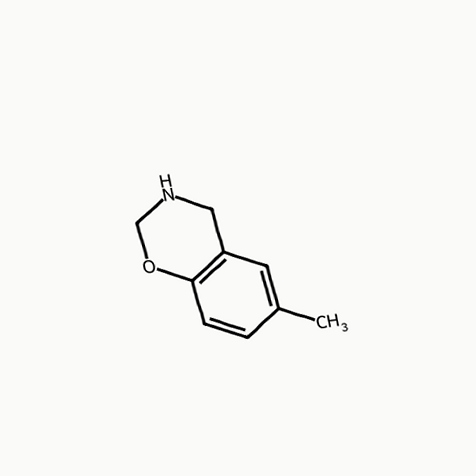 Cc1ccc2c(c1)CNCO2